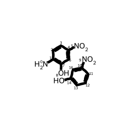 Nc1ccc([N+](=O)[O-])cc1O.O=[N+]([O-])c1cccc(O)c1